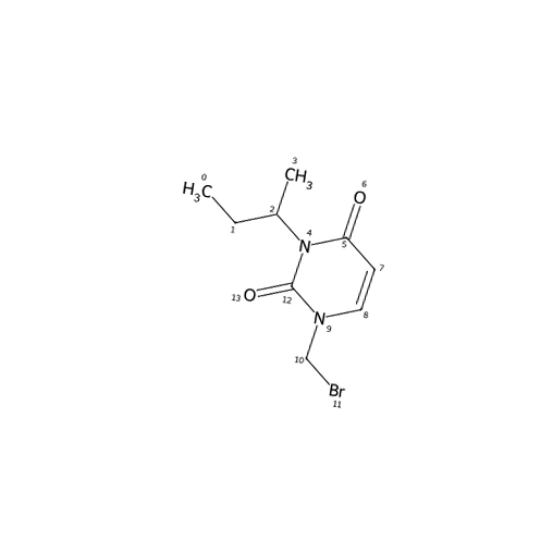 CCC(C)n1c(=O)ccn(CBr)c1=O